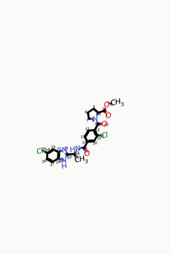 COC(=O)C1CCCN1C(=O)c1ccc(C(=O)NC(C)c2nc3cc(Cl)ccc3[nH]2)cc1Cl